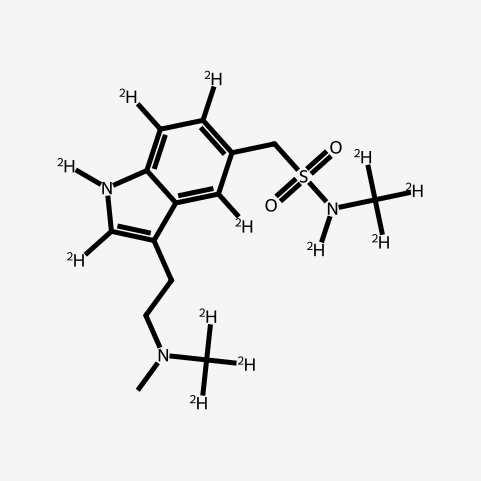 [2H]c1c(CS(=O)(=O)N([2H])C([2H])([2H])[2H])c([2H])c2c(CCN(C)C([2H])([2H])[2H])c([2H])n([2H])c2c1[2H]